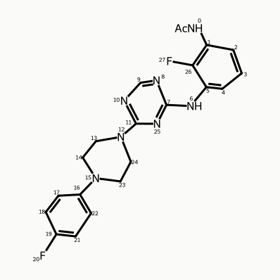 CC(=O)Nc1cccc(Nc2ncnc(N3CCN(c4ccc(F)cc4)CC3)n2)c1F